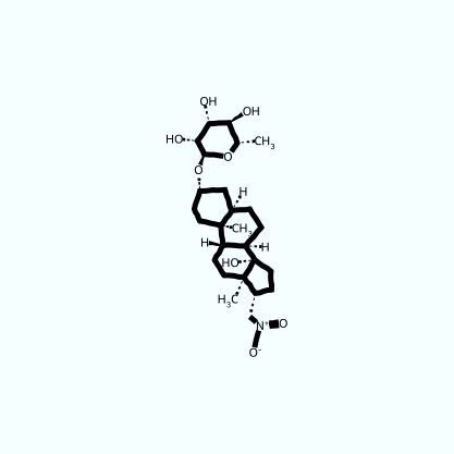 C[C@@H]1O[C@@H](O[C@H]2CC[C@@]3(C)[C@H](CC[C@@H]4[C@@H]3CC[C@]3(C)[C@@H](C[N+](=O)[O-])CC[C@]43O)C2)[C@H](O)[C@H](O)[C@H]1O